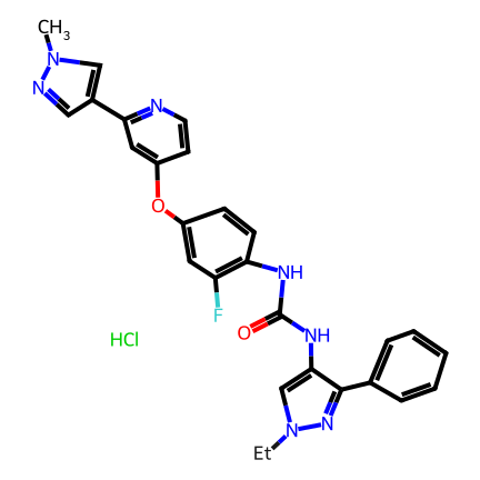 CCn1cc(NC(=O)Nc2ccc(Oc3ccnc(-c4cnn(C)c4)c3)cc2F)c(-c2ccccc2)n1.Cl